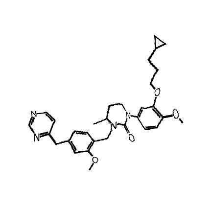 COc1cc(Cc2ccncn2)ccc1CN1C(=O)N(c2ccc(OC)c(OCCCC3CC3)c2)CCC1C